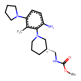 CC(C)(C)OC(=O)NC[C@@H]1CCCN(c2c(N)ccc(N3CCCC3)c2C(F)(F)F)C1